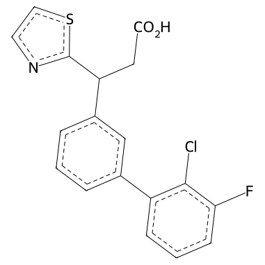 O=C(O)CC(c1cccc(-c2cccc(F)c2Cl)c1)c1nccs1